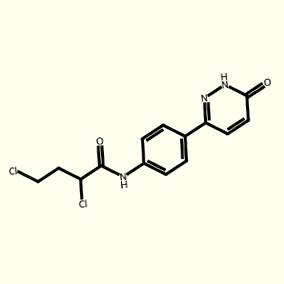 O=C(Nc1ccc(-c2ccc(=O)[nH]n2)cc1)C(Cl)CCCl